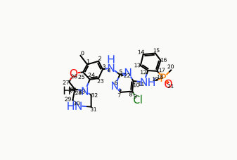 Cc1cc(Nc2ncc(Cl)c(Nc3ccccc3P(C)(C)=O)n2)cc2c1OC[C@H]1CNCCN21